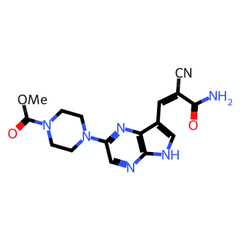 COC(=O)N1CCN(c2cnc3[nH]cc(/C=C(/C#N)C(N)=O)c3n2)CC1